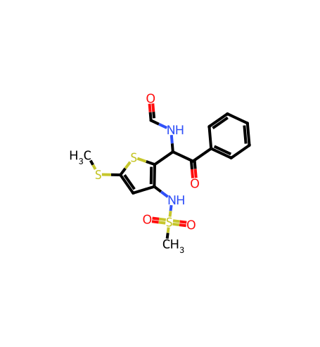 CSc1cc(NS(C)(=O)=O)c(C(NC=O)C(=O)c2ccccc2)s1